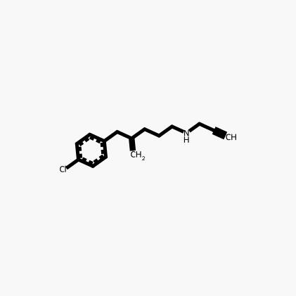 C#CCNCCCC(=C)Cc1ccc(Cl)cc1